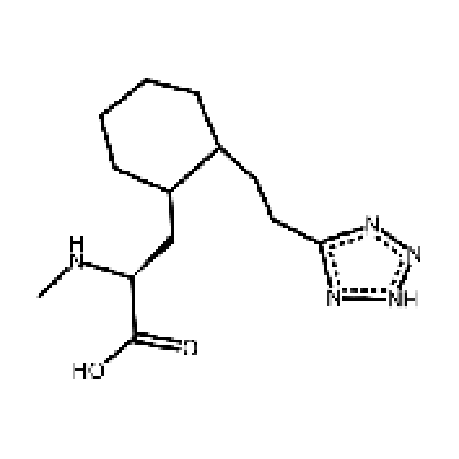 CN[C@@H](CC1CCCCC1CCc1nn[nH]n1)C(=O)O